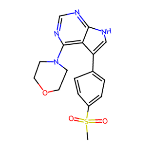 CS(=O)(=O)c1ccc(-c2c[nH]c3ncnc(N4CCOCC4)c23)cc1